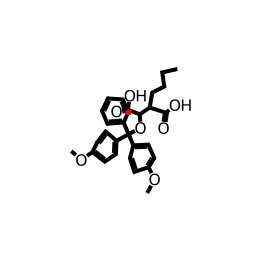 CCCCC(C(=O)O)C(OC(c1ccccc1)(c1ccc(OC)cc1)c1ccc(OC)cc1)C(=O)O